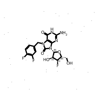 Nc1nc2c(c(=O)[nH]1)n(Cc1ccc(F)c(F)c1)c(=O)n2[C@@H]1O[C@H](CO)[C@@H](F)[C@H]1O